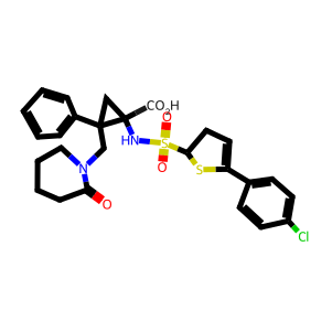 O=C1CCCCN1CC1(c2ccccc2)CC1(NS(=O)(=O)C1CC=C(c2ccc(Cl)cc2)S1)C(=O)O